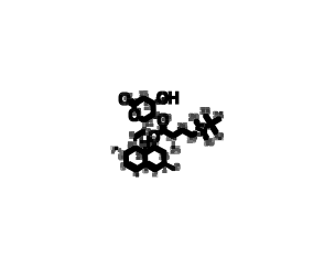 C[C@H]1C=C2C=C[C@H](C)[C@H](CC[C@H]3C[C@@H](O)CC(=O)O3)[C@H]2[C@@H](OC(=O)[C@@H](C)CC[Si](C)(C)C(C)(C)C)C1